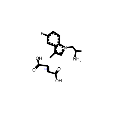 Cc1cn(CC(C)N)c2ccc(F)cc12.O=C(O)/C=C/C(=O)O